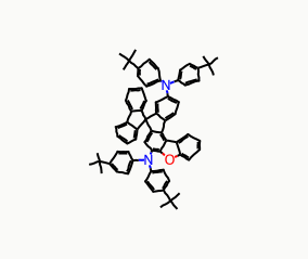 CC(C)(C)c1ccc(N(c2ccc(C(C)(C)C)cc2)c2ccc3c(c2)C2(c4ccccc4-c4ccccc42)c2cc(N(c4ccc(C(C)(C)C)cc4)c4ccc(C(C)(C)C)cc4)c4oc5ccccc5c4c2-3)cc1